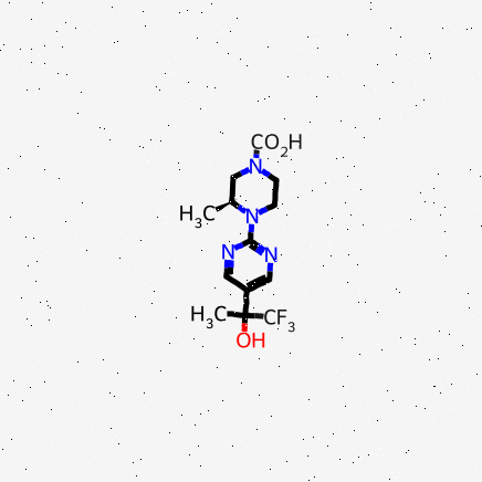 C[C@H]1CN(C(=O)O)CCN1c1ncc(C(C)(O)C(F)(F)F)cn1